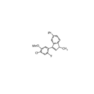 COc1cc(C2=CC(C)c3ccc(C(C)C)cc32)c(F)cc1Cl